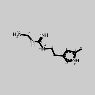 Cc1cc(CCNC(=N)NCN)c[nH]1